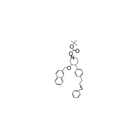 CC(C)(C)OC(=O)ON1CCC(c2ccc(CCSc3ccccc3)cc2)C(OCc2ccc3ccccc3c2)C1